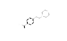 O=C(O)c1ccc(CCN2CCOCC2)cc1